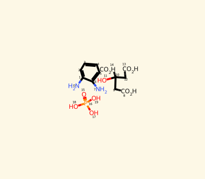 Nc1ccccc1N.O=C(O)CC(O)(CC(=O)O)C(=O)O.O=P(O)(O)O